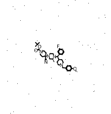 COc1ccc(CN2CCC(C(c3cccc(F)c3)N3CCN(C4(C#N)CCN(C(=O)OC(C)(C)C)CC4)C[C@@H]3C)CC2)cc1